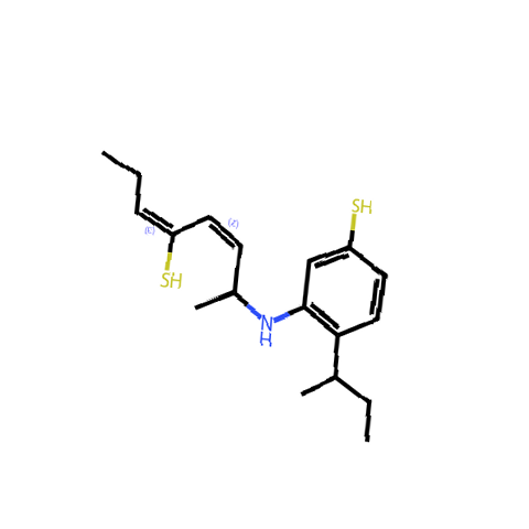 CC/C=C(S)\C=C/C(C)Nc1cc(S)ccc1C(C)CC